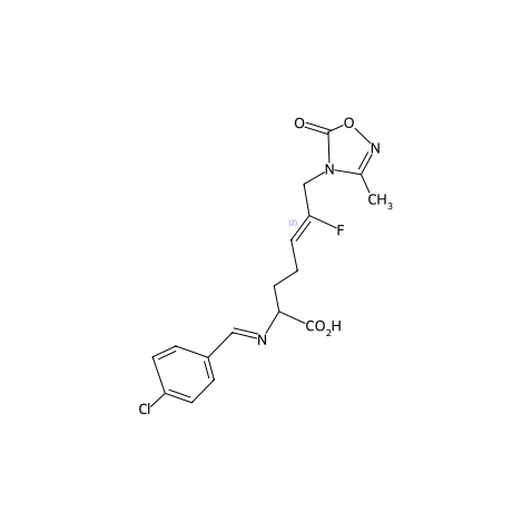 Cc1noc(=O)n1C/C(F)=C/CCC(N=Cc1ccc(Cl)cc1)C(=O)O